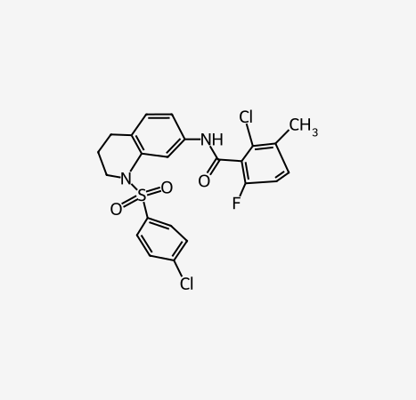 Cc1ccc(F)c(C(=O)Nc2ccc3c(c2)N(S(=O)(=O)c2ccc(Cl)cc2)CCC3)c1Cl